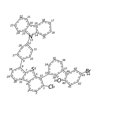 Clc1ccc2c(sc3c(-c4ccc(-n5c6ccccc6c6ccccc65)cc4)cccc32)c1-c1cccc2c1oc1ccc(Br)cc12